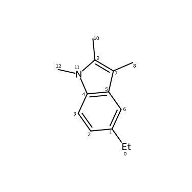 [CH2]Cc1ccc2c(c1)c(C)c(C)n2C